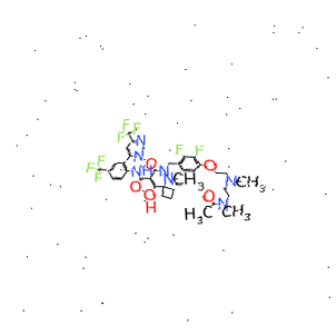 CC(=O)N(C)CCN(C)CCOc1ccc(CN2C(=O)C(C(=O)Nc3ccc(C(F)(F)F)cc3-c3cc(C(F)(F)F)ncn3)=C(O)C3(CCC3)N2C)c(F)c1F